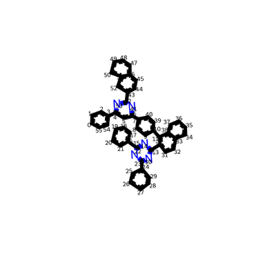 c1ccc(-c2cc(-c3ccc(-c4c(-c5nc(-c6ccccc6)nc(-c6ccccc6)n5)ccc5ccccc45)cc3)nc(-c3ccc4ccccc4c3)n2)cc1